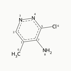 Cc1cnnc(Cl)c1N